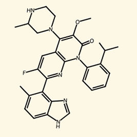 COc1c(N2CCNC(C)C2)c2cc(F)c(-c3c(C)ccc4[nH]cnc34)nc2n(-c2ccccc2C(C)C)c1=O